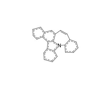 C1=Cc2cc3ccccc3c3c4ccccc4n(c23)-c2ccccc21